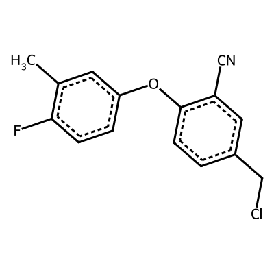 Cc1cc(Oc2ccc(CCl)cc2C#N)ccc1F